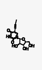 CC#Cc1cn(C2O[C@@H](CO)[C@H](O)[C@H]2O)c(=O)[nH]c1=O